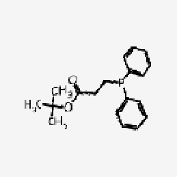 CC(C)(C)OC(=O)CCP(c1ccccc1)c1ccccc1